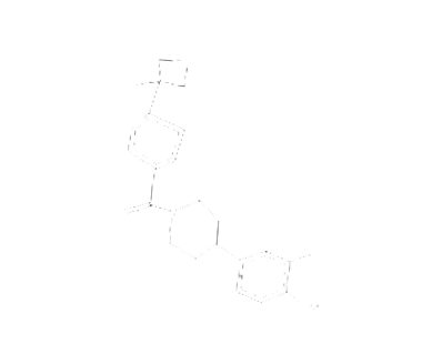 C=C(c1ccc(C2(O)COC2)cc1)N1CCC(c2ccc(OC)c(F)c2)CC1